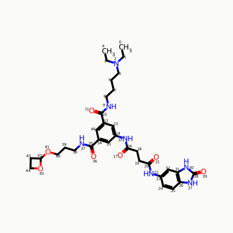 CCN(CC)CCCCNC(=O)c1cc(NC(=O)CCC(=O)Nc2ccc3[nH]c(=O)[nH]c3c2)cc(C(=O)NCCCOC2CCO2)c1